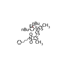 CCCCc1ccc([Si]2(CC(CC)CCCC)c3cc(C)sc3-c3sc(-c4sc(C)c5c4C(=O)N(CCCCc4ccccc4)C5=O)cc32)cc1